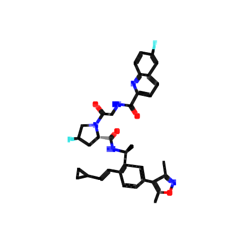 Cc1noc(C)c1-c1ccc(/C=C/C2CC2)c([C@H](C)NC(=O)[C@@H]2C[C@@H](F)CN2C(=O)CNC(=O)c2ccc3cc(F)ccc3n2)c1